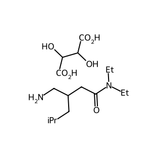 CCN(CC)C(=O)CC(CN)CC(C)C.O=C(O)C(O)C(O)C(=O)O